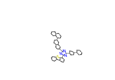 c1ccc(-c2ccc(-c3nc(-c4ccc5ccc(-c6cccc7ccccc67)cc5c4)nc(-c4cccc5c4sc4ccccc45)n3)cc2)cc1